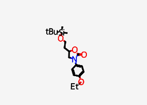 CCOc1ccc(N2CC(CCO[Si](C)(C)C(C)(C)C)OC2=O)cc1